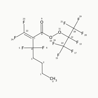 CCCCC(F)(F)C(C(=O)OOC(F)(C(F)(F)F)C(F)(F)F)=C(F)F